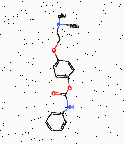 CCCCN(CCCC)CCOc1ccc(OC(=O)Nc2ccccc2)cc1